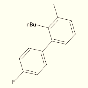 CCCCc1c(C)cccc1-c1ccc(F)cc1